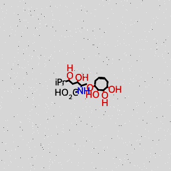 CC(C)C(O)CC(O)C(COC1C/C=C\CC(O)C(O)C1O)NC(=O)O